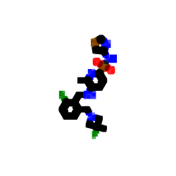 Cc1nc(S(=O)(=O)Nc2cscn2)ccc1NCc1c(F)cccc1CN1CC(C)(F)C1